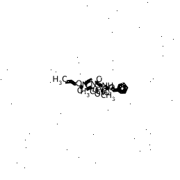 CCCCOC(=O)N1CCN(C(=O)C(NC(=O)OCc2ccccc2)P(=O)(OC)OC)CC1